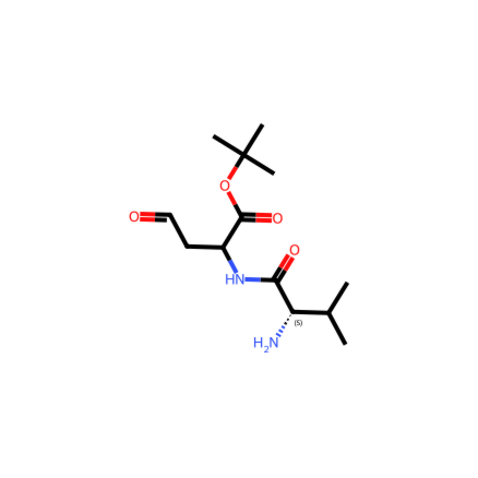 CC(C)[C@H](N)C(=O)NC(CC=O)C(=O)OC(C)(C)C